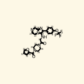 O=C(CNc1c(-c2ccc(OC(F)(F)F)cc2)nc2cnccn12)N1CCN(C(=O)c2ccco2)CC1